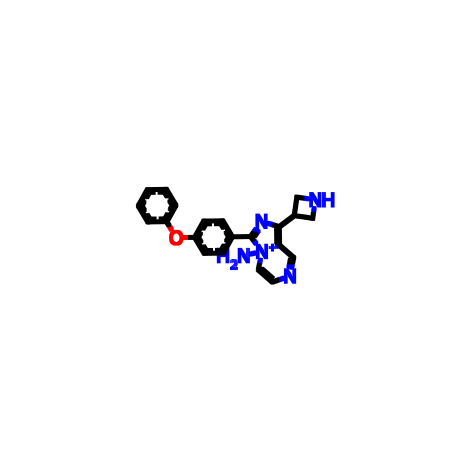 N[N+]12C=CN=CC1=C(C1CNC1)N=C2c1ccc(Oc2ccccc2)cc1